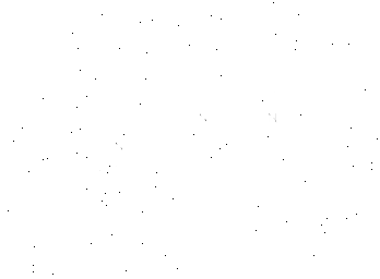 Cc1ccc2c(c1)Oc1cc(C)ccc1N2c1ccc(-n2ccc3c2ccc2c4ccccc4n(-c4ccccc4)c23)cc1